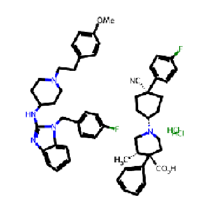 COc1ccc(CCN2CCC(Nc3nc4ccccc4n3Cc3ccc(F)cc3)CC2)cc1.C[C@@H]1CN([C@H]2CC[C@](C#N)(c3ccc(F)cc3)CC2)CC[C@]1(C(=O)O)c1ccccc1.Cl.Cl